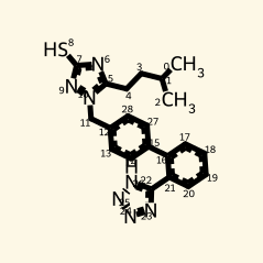 CC(C)CCc1nc(S)nn1Cc1ccc(-c2ccccc2-c2nnn[nH]2)cc1